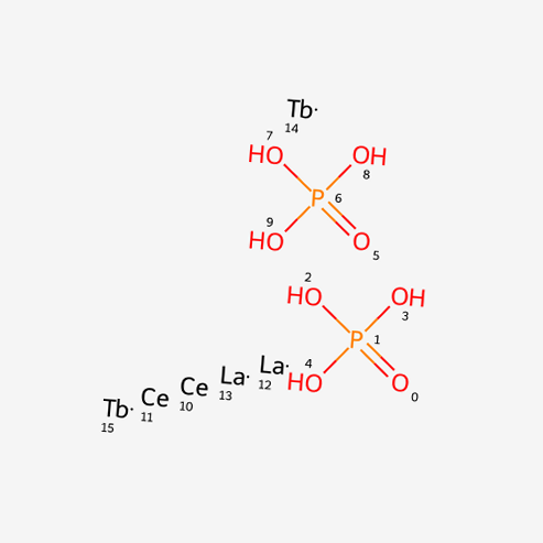 O=P(O)(O)O.O=P(O)(O)O.[Ce].[Ce].[La].[La].[Tb].[Tb]